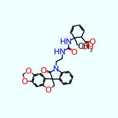 CCC1(NC(=O)NCCN2C(=O)C3(COc4cc5c(cc43)OCO5)c3ccccc32)C=CC=CC1C(=O)O